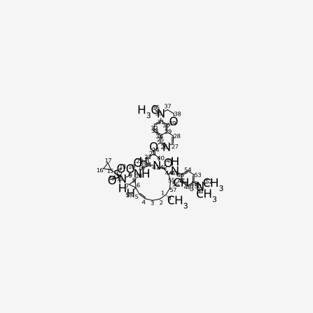 C[C@@H]1CC/C=C\[C@@H]2C[C@@]2(C(=O)NS(=O)(=O)C2CC2)NC(=O)[C@@H]2C[C@@H](Oc3nccc4c5c(ccc34)N(C)CCO5)CN2C(=O)[C@@H](Nc2ccc(N(C)C)cc2)[C@H](C)C1